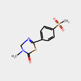 CN1CN=C(c2ccc(S(C)(=O)=O)cc2)SC1=O